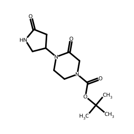 CC(C)(C)OC(=O)N1CCN(C2CNC(=O)C2)C(=O)C1